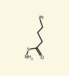 CC(C)CCCC(=O)SN